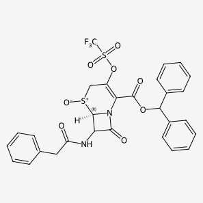 O=C(Cc1ccccc1)NC1C(=O)N2C(C(=O)OC(c3ccccc3)c3ccccc3)=C(OS(=O)(=O)C(F)(F)F)C[S+]([O-])[C@H]12